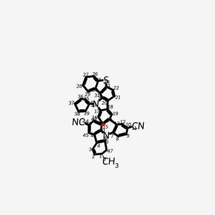 C[C@@H]1C=Cc2c(n(-c3ccc(C#N)cc3-c3ccc4c(c3)c3ccc5sc6ccccc6c5c3n4-c3ccccc3)c3ccc(C#N)cc23)C1